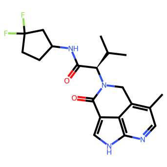 Cc1cnc2[nH]cc3c2c1CN([C@@H](C(=O)NC1CCC(F)(F)C1)C(C)C)C3=O